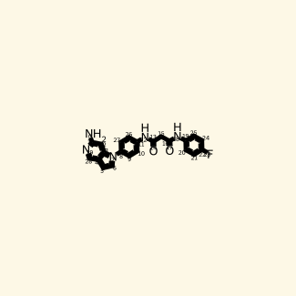 Nc1cc2c(ccn2-c2ccc(NC(=O)CC(=O)Nc3ccc(F)cc3)cc2)cn1